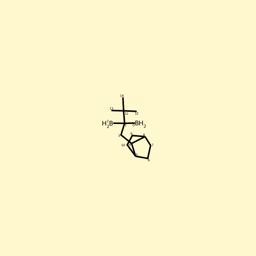 BC(B)(CC1C2CCC1CC2)C(C)(C)C